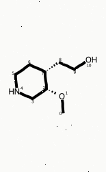 CO[C@@H]1CNCC[C@@H]1CCO